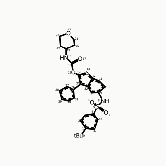 CC(C)(C)c1ccc(S(=O)(=O)Nc2ccc3sc(OC(=O)NC4CCOCC4)c(-c4ccccc4)c3c2)cc1